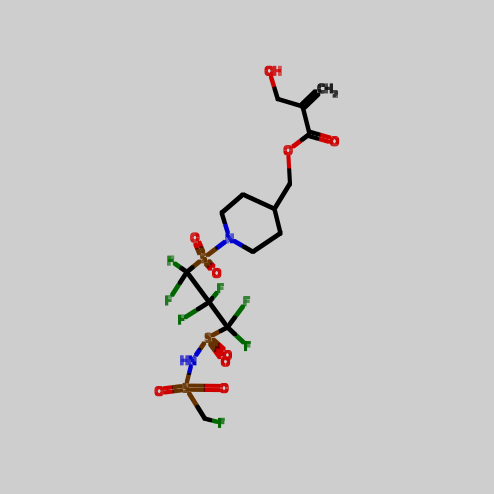 C=C(CO)C(=O)OCC1CCN(S(=O)(=O)C(F)(F)C(F)(F)C(F)(F)S(=O)(=O)NS(=O)(=O)CF)CC1